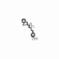 Nc1ccccc1/C=C/C(=O)CC(=O)/C=C/c1ccc(O)cc1